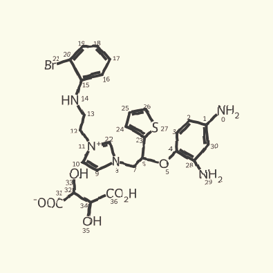 Nc1ccc(OC(Cn2cc[n+](CCNc3ccccc3Br)c2)c2cccs2)c(N)c1.O=C([O-])C(O)C(O)C(=O)O